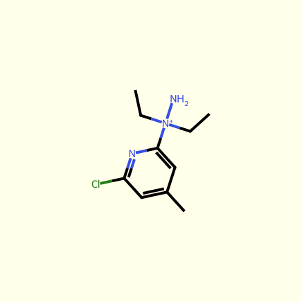 CC[N+](N)(CC)c1cc(C)cc(Cl)n1